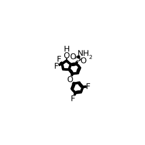 NS(=O)(=O)c1ccc(Oc2cc(F)cc(F)c2)c2c1[C@H](O)C(F)(F)C2